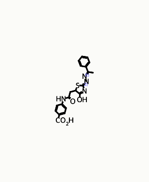 C/C(=N\N=C1\N=C(O)C(CC(=O)Nc2ccc(C(=O)O)cc2)S1)c1ccccc1